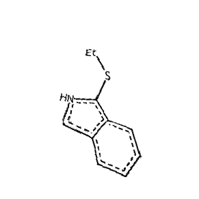 CCSc1[nH]cc2ccccc12